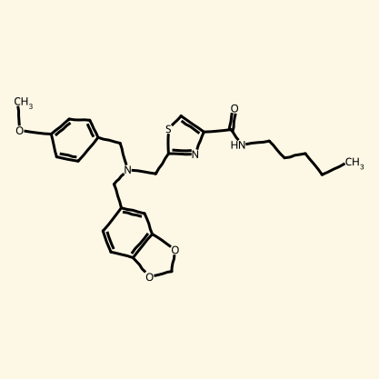 CCCCCNC(=O)c1csc(CN(Cc2ccc(OC)cc2)Cc2ccc3c(c2)OCO3)n1